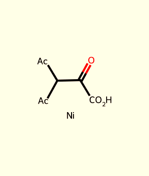 CC(=O)C(C(C)=O)C(=O)C(=O)O.[Ni]